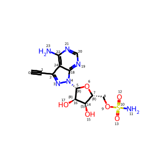 C#Cc1nn([C@@H]2O[C@H](COS(N)(=O)=O)[C@@H](O)[C@H]2O)c2ncnc(N)c12